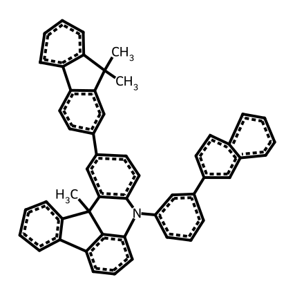 CC1(C)c2ccccc2-c2ccc(-c3ccc4c(c3)C3(C)c5ccccc5-c5cccc(c53)N4c3cccc(-c4ccc5ccccc5c4)c3)cc21